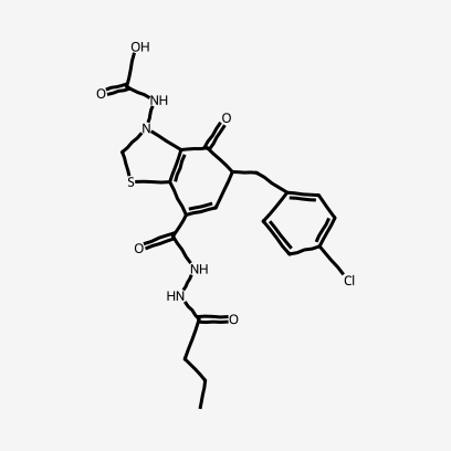 CCCC(=O)NNC(=O)C1=CC(Cc2ccc(Cl)cc2)C(=O)C2=C1SCN2NC(=O)O